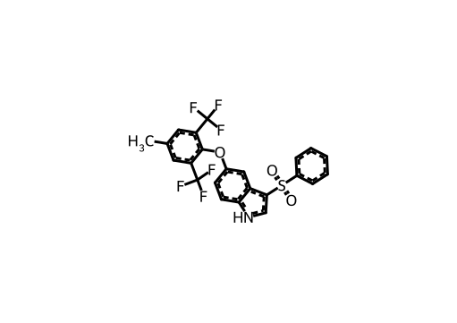 Cc1cc(C(F)(F)F)c(Oc2ccc3[nH]cc(S(=O)(=O)c4ccccc4)c3c2)c(C(F)(F)F)c1